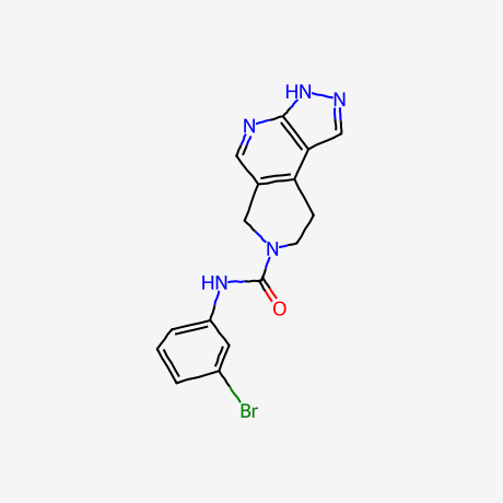 O=C(Nc1cccc(Br)c1)N1CCc2c(cnc3[nH]ncc23)C1